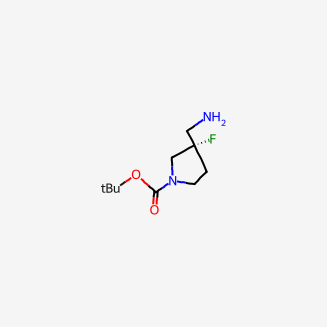 CC(C)(C)OC(=O)N1CC[C@](F)(CN)C1